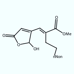 CCCCCCCCCCCC(=CC1=CC(=O)OC1O)C(=O)OC